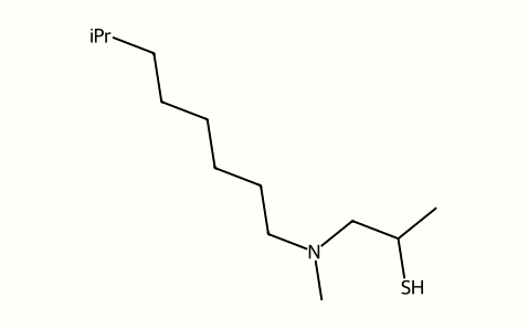 CC(C)CCCCCCN(C)CC(C)S